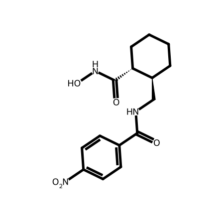 O=C(NC[C@@H]1CCCC[C@H]1C(=O)NO)c1ccc([N+](=O)[O-])cc1